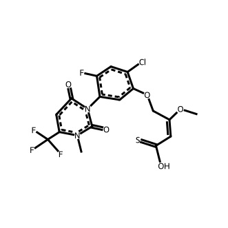 CO/C(=C/C(O)=S)COc1cc(-n2c(=O)cc(C(F)(F)F)n(C)c2=O)c(F)cc1Cl